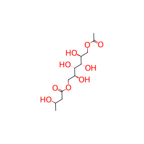 CC(=O)OC[C@H](O)[C@H](O)[C@@H](O)[C@@H](O)COC(=O)CC(C)O